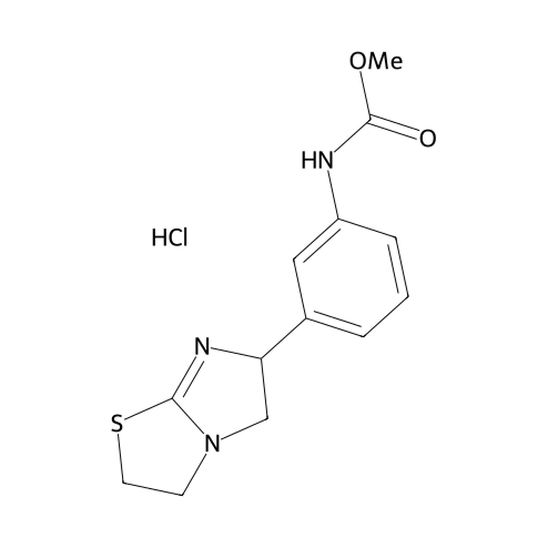 COC(=O)Nc1cccc(C2CN3CCSC3=N2)c1.Cl